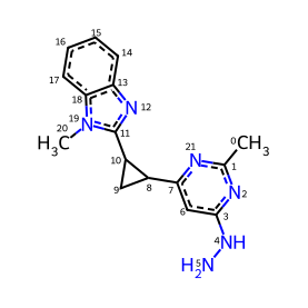 Cc1nc(NN)cc(C2CC2c2nc3ccccc3n2C)n1